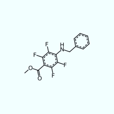 COC(=O)c1c(F)c(F)c(NCc2ccccc2)c(F)c1F